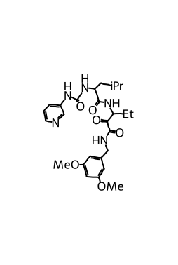 CCC(NC(=O)C(CC(C)C)NC(=O)Nc1cccnc1)C(=O)C(=O)NCc1cc(OC)cc(OC)c1